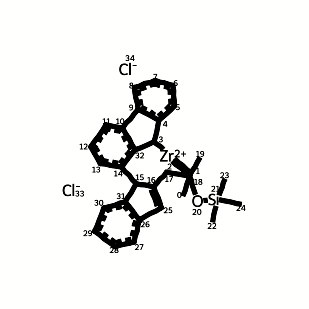 C[CH]=[Zr+2][CH]1c2ccccc2-c2cccc(C3C(CC(C)O[Si](C)(C)C)=Cc4ccccc43)c21.[Cl-].[Cl-]